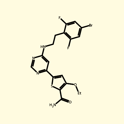 CCOc1cc(-c2cc(NCCc3c(F)cc(Br)cc3F)ncn2)sc1C(N)=O